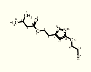 CC(C)CC(=O)OCCc1cc(OCCBr)no1